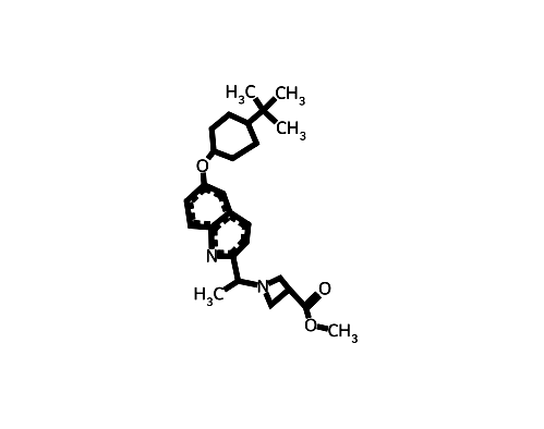 COC(=O)C1CN(C(C)c2ccc3cc(OC4CCC(C(C)(C)C)CC4)ccc3n2)C1